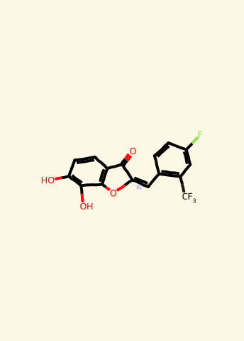 O=C1/C(=C\c2ccc(F)cc2C(F)(F)F)Oc2c1ccc(O)c2O